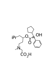 CC(C)CC(CCN(C)CC(=O)O)OC(=O)[C@](O)(c1ccccc1)C1CCCC1